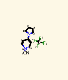 F[B-](F)(F)F.N#C[n+]1ccc(N2CCCC2)cc1